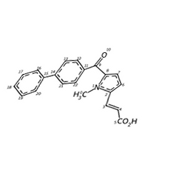 Cn1c(C=CC(=O)O)ccc1C(=O)c1ccc(-c2ccccc2)cc1